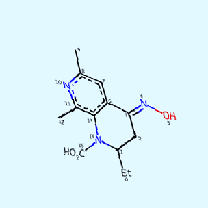 CCC1C/C(=N\O)c2cc(C)nc(C)c2N1C(=O)O